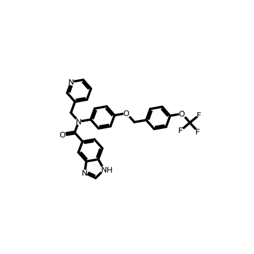 O=C(c1ccc2[nH]cnc2c1)N(Cc1cccnc1)c1ccc(OCc2ccc(OC(F)(F)F)cc2)cc1